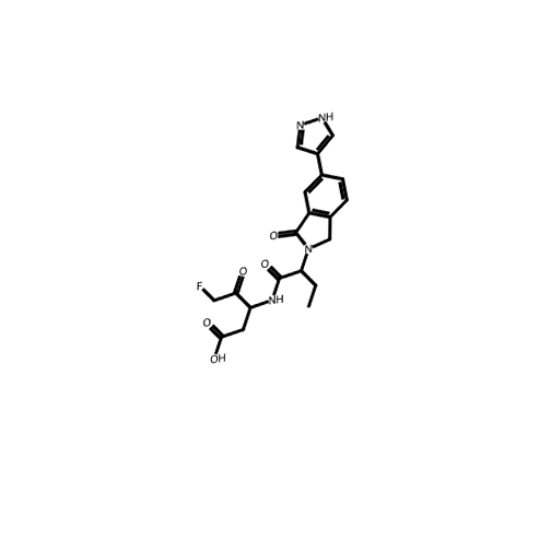 CCC(C(=O)NC(CC(=O)O)C(=O)CF)N1Cc2ccc(-c3cn[nH]c3)cc2C1=O